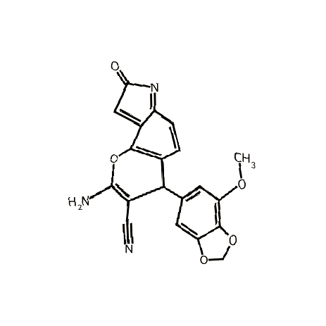 COc1cc(C2C(C#N)=C(N)Oc3c2ccc2c3=CC(=O)N=2)cc2c1OCO2